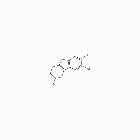 CC(C)C1CCc2[nH]c3cc(Cl)c(Cl)cc3c2C1